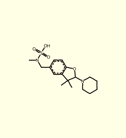 CN(Cc1ccc2c(c1)C(C)(C)C(N1CCCCC1)O2)S(=O)(=O)O